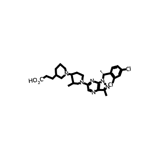 Cc1nn([C@H](C)c2ccc(Cl)cc2Cl)c2nc(N3CCC(N4CCCC(CCC(=O)O)C4)C(C)C3)cnc12